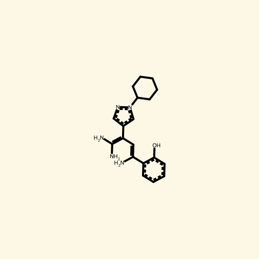 NC(N)=C(/C=C(\N)c1ccccc1O)c1cnn(C2CCCCC2)c1